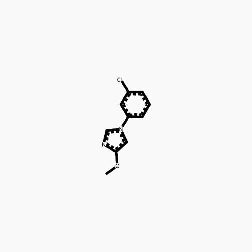 COc1cn(-c2cccc(Cl)c2)cn1